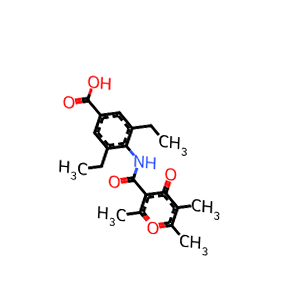 CCc1cc(C(=O)O)cc(CC)c1NC(=O)c1c(C)oc(C)c(C)c1=O